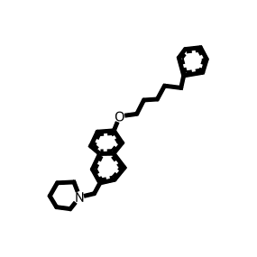 c1ccc(CCCCCOc2ccc3cc(CN4CCCCC4)ccc3c2)cc1